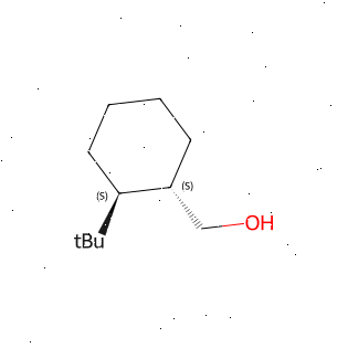 CC(C)(C)[C@H]1CCCC[C@@H]1CO